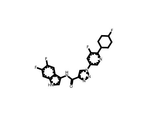 O=C(Nc1c[nH]c2cc(F)c(F)cc12)c1cn(-c2cnc(C3CCC(F)CC3)c(F)c2)nn1